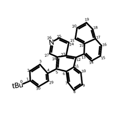 CC(C)(C)c1ccc(-c2c3ccccc3c(-c3cccc4ccccc34)c3ccncc23)cc1